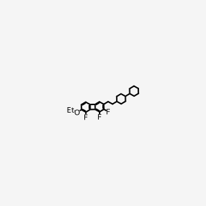 CCOc1ccc2c(c1F)-c1c-2cc(CCC2CCC(C3CCCCC3)CC2)c(F)c1F